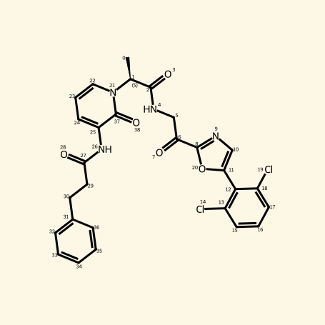 C[C@@H](C(=O)NCC(=O)c1ncc(-c2c(Cl)cccc2Cl)o1)n1cccc(NC(=O)CCc2ccccc2)c1=O